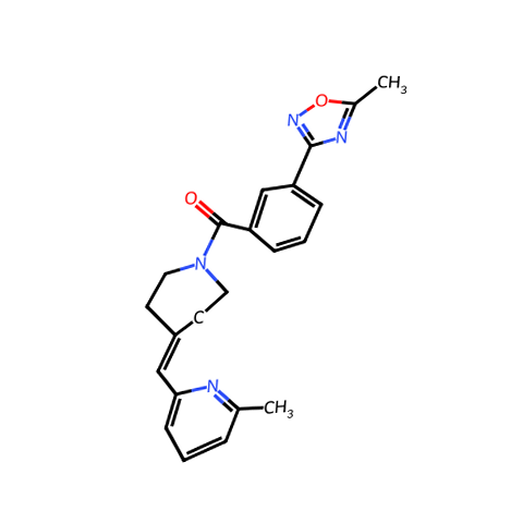 Cc1cccc(C=C2CCN(C(=O)c3cccc(-c4noc(C)n4)c3)CC2)n1